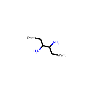 CCCC(C)CC(N)C(N)CC(C)CCC